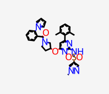 Cc1cccc(C)c1-c1cc(OC2CCN(C(=O)c3ccccc3-n3cccc3)C2)nc(NS(=O)(=O)c2cnn(C)c2)n1